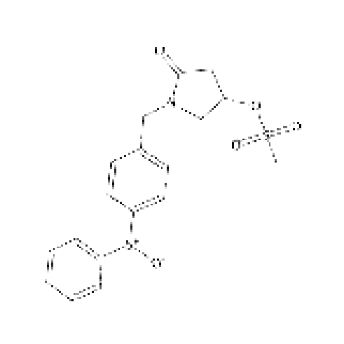 CS(=O)(=O)OC1CC(=O)N(Cc2ccc([S+]([O-])c3ccccc3)cc2)C1